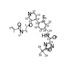 C=CC(=O)N(C)CCOc1cnccc1-c1ccc(CNC(=O)c2noc(C(C)(C)C)n2)c(C)c1F